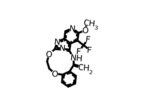 C=C1Nc2nc(nc3cnc(OC)c(C(F)(F)F)c23)OCCOc2ccccc21